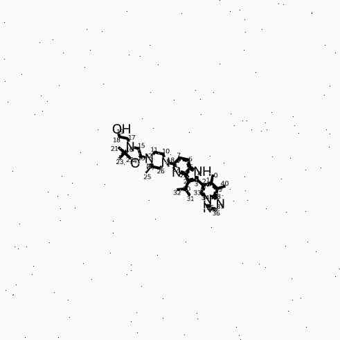 Cc1c(-c2[nH]c3ccc(N4CCN(C(=O)CN(CCO)C(C)(C)C)[C@H](C)C4)nc3c2C(C)C)cn2ncnc2c1C